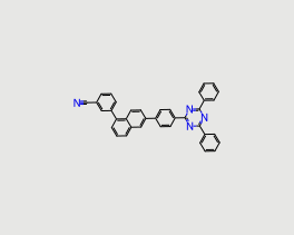 N#Cc1cccc(-c2cccc3cc(-c4ccc(-c5nc(-c6ccccc6)nc(-c6ccccc6)n5)cc4)ccc23)c1